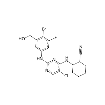 N#CC1CCCCC1Nc1nc(Nc2cc(F)c(Br)c(CO)c2)ncc1Cl